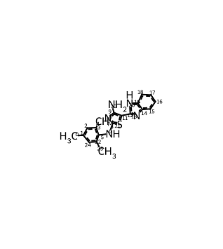 Cc1cc(C)c(Nc2nc(N)c(-c3nc4ccccc4[nH]3)s2)c(C)c1